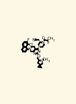 C=C(F)C(=O)N1CCN(c2nc(OCC3CC4(CC4)CN3C)nc3c2CCN(c2cccc4ccc(F)c(Cl)c24)C3)C[C@@H]1CC#N